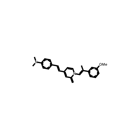 C=C1C=C(/C=C/c2ccc(N(C)C)cc2)C=CN1/C=C(\C)c1cccc(OC)c1